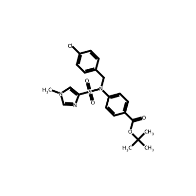 Cn1cnc(S(=O)(=O)N(Cc2ccc(Cl)cc2)c2ccc(C(=O)OC(C)(C)C)cc2)c1